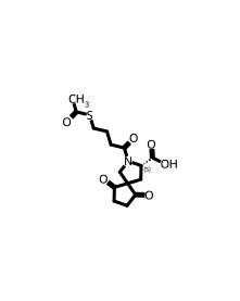 CC(=O)SCCCC(=O)N1CC2(C[C@H]1C(=O)O)C(=O)CCC2=O